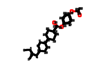 CCC(C)CC1CCC(C2CCC(C(=O)Oc3ccc(OC(C)=O)cc3)CC2)CC1